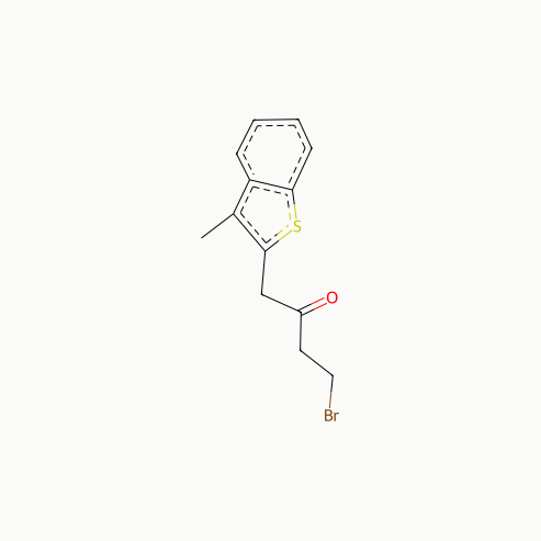 Cc1c(CC(=O)CCBr)sc2ccccc12